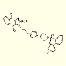 Cc1ccc(-c2ccccc2S(=O)(=O)N2CCN(c3ccc(CCCn4c5c(n[n+]4[O-])C(=O)c4ccccc4C5=O)cc3)CC2)cc1